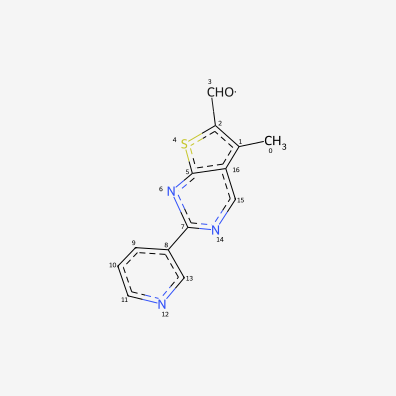 Cc1c([C]=O)sc2nc(-c3cccnc3)ncc12